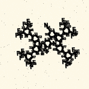 N#Cc1cccc(-c2cc(-n3c4ccc(-c5cc(C(F)(F)F)cc(C(F)(F)F)c5)cc4c4cc(-c5cc(C(F)(F)F)cc(C(F)(F)F)c5)ccc43)c(C(F)(F)F)cc2-n2c3ccc(-c4cc(C(F)(F)F)cc(C(F)(F)F)c4)cc3c3cc(-c4cc(C(F)(F)F)cc(C(F)(F)F)c4)ccc32)c1